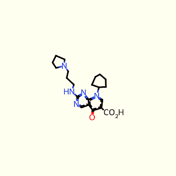 O=C(O)c1cn(C2CCCCC2)c2nc(NCCCN3CCCC3)ncc2c1=O